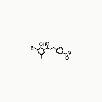 Cc1cc(Br)c(O)c(C(=O)CCc2ccc([N+](=O)[O-])cc2)c1